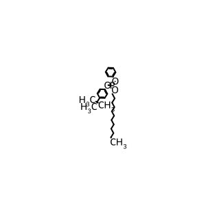 CCCCCCCCCCCCOP(Oc1ccccc1)Oc1ccc(C(C)(C)C)cc1